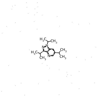 CC(C)c1cnc2c(C(C)C)nn(C(C)C)c2c1